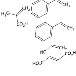 C=C(C)C(=O)O.C=CC#N.C=Cc1ccccc1.C=Cc1ccccc1.O=C(O)C=CC(=O)O